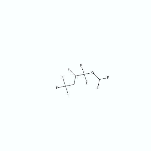 FC(F)OC(F)(F)C(F)CC(F)(F)F